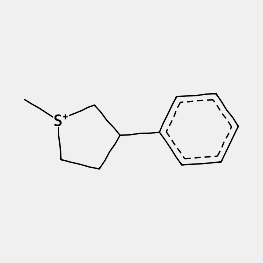 C[S+]1CCC(c2ccccc2)C1